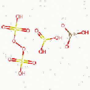 O=S(=O)(O)OOS(=O)(=O)O.O=S(O)O.[O-][Br+2]([O-])O